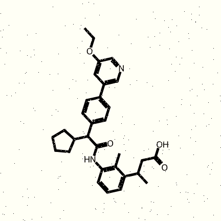 CCOc1cncc(-c2ccc(C(C(=O)Nc3cccc(C(C)CC(=O)O)c3C)C3CCCC3)cc2)c1